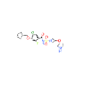 O=C(NS(=O)(=O)N1CC(OC2CCNC2)C1)c1cc(Cl)c(OCC2CCCC2)cc1F